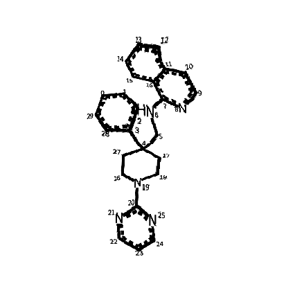 c1ccc(C2(CNc3nccc4ccccc34)CCN(c3ncccn3)CC2)cc1